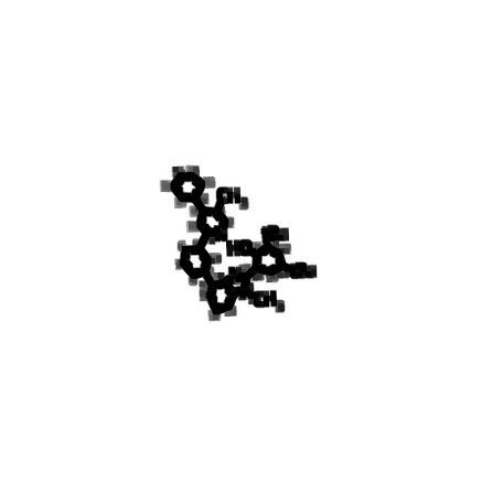 Cc1cnc(-c2cccc(-c3cccc4c3nc(-c3cc(C(C)(C)C)cc(C(C)(C)C)c3O)n4C)c2)cc1-c1ccccc1